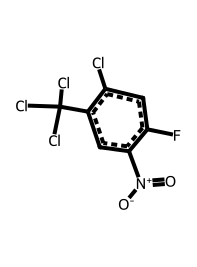 O=[N+]([O-])c1cc(C(Cl)(Cl)Cl)c(Cl)cc1F